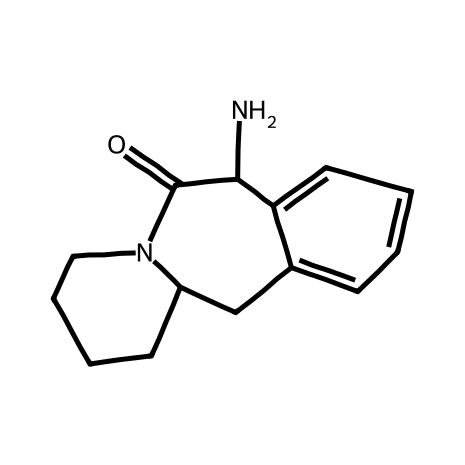 NC1C(=O)N2CCCCC2Cc2ccccc21